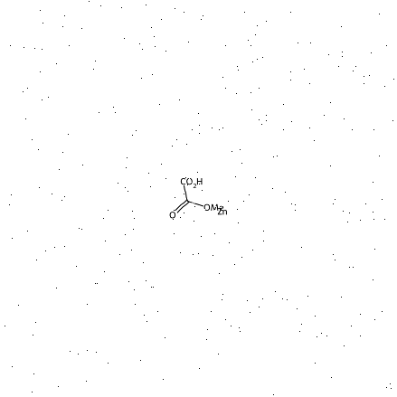 COC(=O)C(=O)O.[Zn]